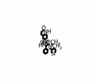 CC(C)N(Cc1cccnc1)C(=O)C(NS(=O)(=O)c1ccc2[nH]c(=O)ccc2c1)c1ccccc1